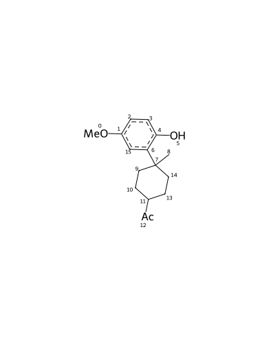 COc1ccc(O)c(C2(C)CCC(C(C)=O)CC2)c1